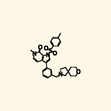 Cc1ccc(S(=O)(=O)n2cc(-c3cccc(CN4CCC5(CCOCC5)C4)c3)c3ccn(C)c(=O)c32)cc1